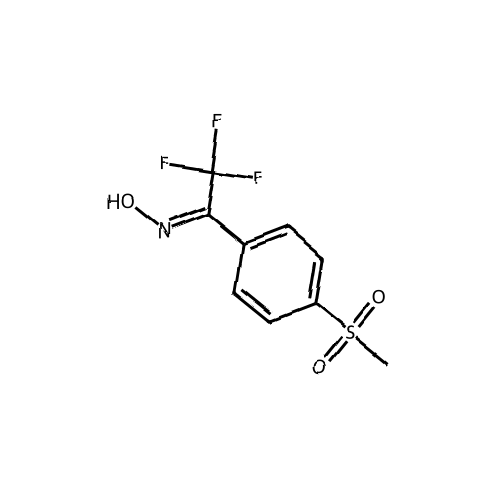 CS(=O)(=O)c1ccc(C(=NO)C(F)(F)F)cc1